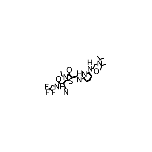 CCn1c(=C(C#N)C(=O)NCC(F)(F)F)sc(=CNc2cccc(NC(=O)CN(C(C)C)C(C)C)n2)c1=O